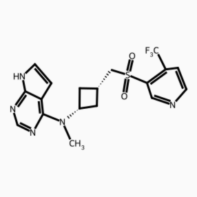 CN(c1ncnc2[nH]ccc12)[C@H]1C[C@@H](CS(=O)(=O)c2cnccc2C(F)(F)F)C1